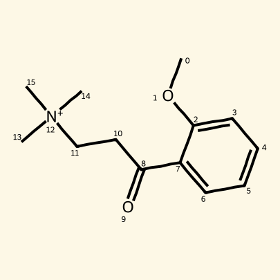 COc1ccccc1C(=O)CC[N+](C)(C)C